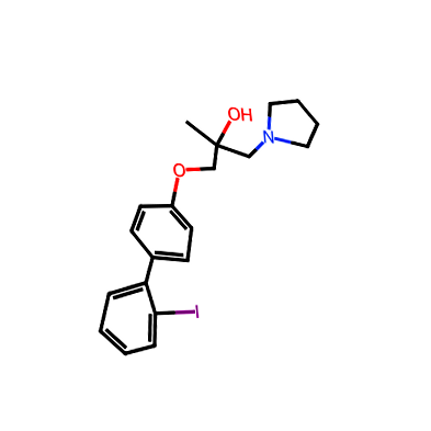 CC(O)(COc1ccc(-c2ccccc2I)cc1)CN1CCCC1